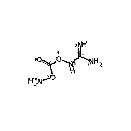 N=C(N)NOC(=O)ON